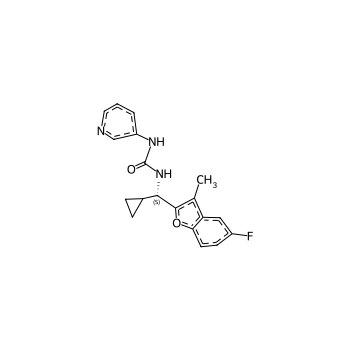 Cc1c([C@@H](NC(=O)Nc2cccnc2)C2CC2)oc2ccc(F)cc12